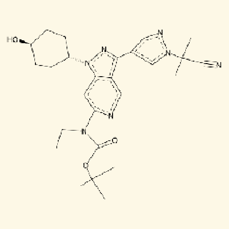 CCN(C(=O)OC(C)(C)C)c1cc2c(cn1)c(-c1cnn(C(C)(C)C#N)c1)nn2[C@H]1CC[C@H](O)CC1